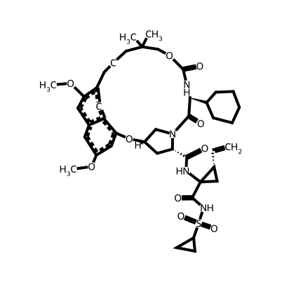 C=C[C@@H]1CC1(NC(=O)[C@@H]1C[C@@H]2CN1C(=O)[C@H](C1CCCCC1)NC(=O)OCC(C)(C)CCCc1cc3c(cc(OC)cc3cc1OC)O2)C(=O)NS(=O)(=O)C1CC1